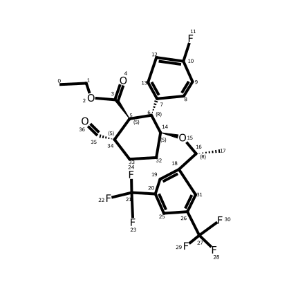 CCOC(=O)[C@H]1[C@H](c2ccc(F)cc2)[C@@H](O[C@H](C)c2cc(C(F)(F)F)cc(C(F)(F)F)c2)CC[C@@H]1C=O